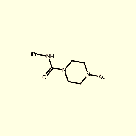 CC(=O)N1CCN(C(=O)NC(C)C)CC1